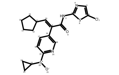 O=C(Nc1ncc(Cl)s1)/C(=C/C1CCCC1)c1ccc([S+]([O-])C2CC2)nc1